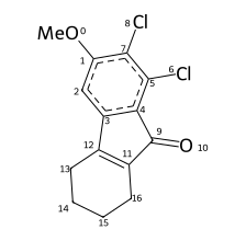 COc1cc2c(c(Cl)c1Cl)C(=O)C1=C2CCCC1